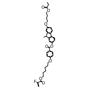 C=C(F)C(=O)OCCCCCCOc1ccc(C(=O)Oc2ccc3c(c2)C(C)c2cc(OCCCCOC(=O)CC)ccc2-3)cc1